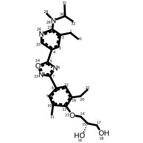 CCc1cc(-c2nc(-c3cc(C)c(OC[C@@H](O)CO)c(CC)c3)no2)cnc1N(C)C(C)C